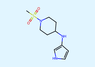 CS(=O)(=O)N1CCC(Nc2cc[nH]c2)CC1